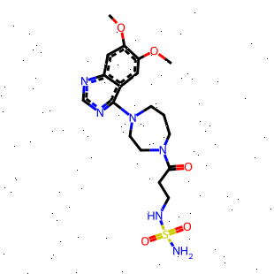 COc1cc2ncnc(N3CCCN(C(=O)CCNS(N)(=O)=O)CC3)c2cc1OC